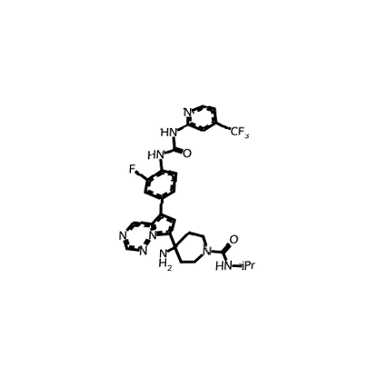 CC(C)NC(=O)N1CCC(N)(c2cc(-c3ccc(NC(=O)Nc4cc(C(F)(F)F)ccn4)c(F)c3)c3cncnn23)CC1